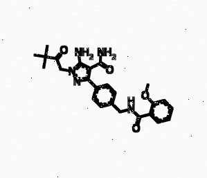 COc1ccccc1C(=O)NCc1ccc(-c2nn(CC(=O)C(C)(C)C)c(N)c2C(N)=O)cc1